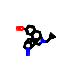 Oc1ccc2c(c1)C13CCN(CC4CC4)C(C2)C12CCC1NCC(C2)C13